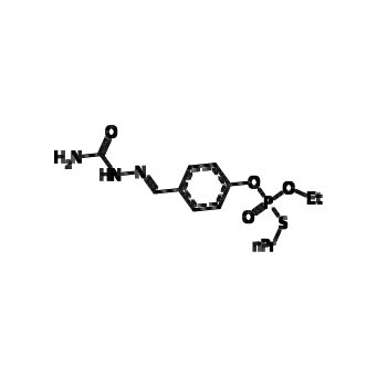 CCCSP(=O)(OCC)Oc1ccc(C=NNC(N)=O)cc1